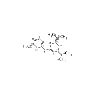 CC(C)=C1C=C(Cc2cccc(C)c2)CC(=C(C)C)C1